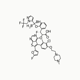 BC(B)(Oc1ccccc1[C@@H](F)[C@H](Oc1ncnc2sc(-c3ccc(F)o3)c(-c3ccc(OCCN4CCN(C)CC4)c(Cl)c3C)c12)C(=O)O)c1ccnn1CC(F)(F)F